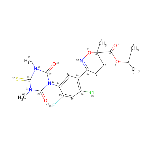 CC(C)OC(=O)C1(C)CCC(c2cc(-n3c(=O)n(C)c(=S)n(C)c3=O)c(F)cc2Cl)=NO1